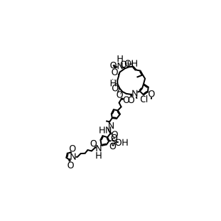 COc1cc2cc(c1Cl)N(C)C(=O)C[C@H](OC(=O)CCc1ccc(/C(C)=N/NC(=O)c3ccc(NC(=O)CCCCCN4C(=O)C=CC4=O)cc3S(=O)(=O)O)cc1)[C@]1(C)O[C@H]1[C@H](C)C1C[C@@](O)(NC(=O)O1)[C@H](O)/C=C/C=C(\C)C2